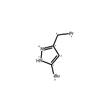 CCC(C)c1cc(CC(C)C)n[nH]1